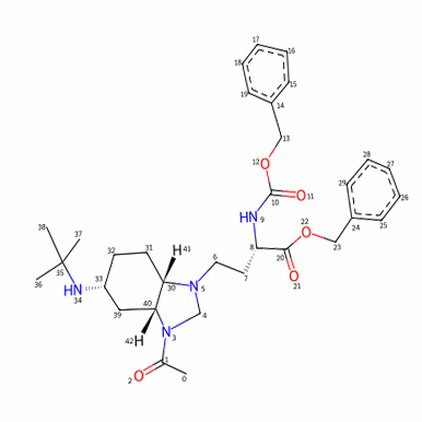 CC(=O)N1CN(CC[C@H](NC(=O)OCc2ccccc2)C(=O)OCc2ccccc2)[C@H]2CC[C@@H](NC(C)(C)C)C[C@H]21